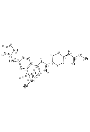 CC(C)OC(=O)N[C@H]1CC[C@H](c2nc(C(F)(F)F)c(-c3ccc(Nc4ncc[nH]4)cc3S(=O)(=O)NC(C)(C)C)s2)CC1